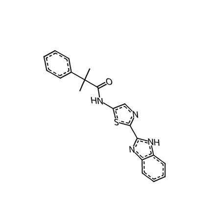 CC(C)(C(=O)Nc1cnc(-c2nc3ccccc3[nH]2)s1)c1ccccc1